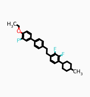 CCOc1ccc(-c2ccc(CCc3ccc(C4CCC(C)CC4)c(F)c3F)cc2)cc1F